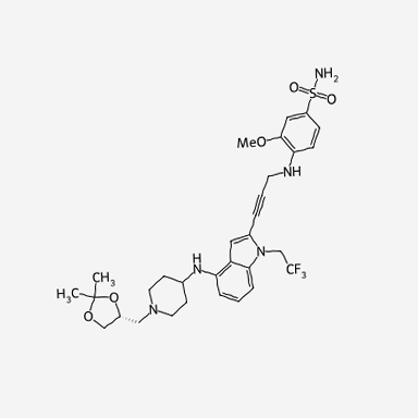 COc1cc(S(N)(=O)=O)ccc1NCC#Cc1cc2c(NC3CCN(C[C@@H]4COC(C)(C)O4)CC3)cccc2n1CC(F)(F)F